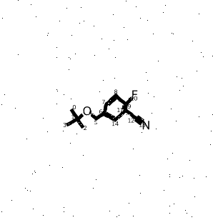 CC(C)(C)OCc1ccc(F)c(C#N)c1